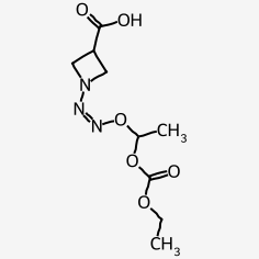 CCOC(=O)OC(C)O/N=N\N1CC(C(=O)O)C1